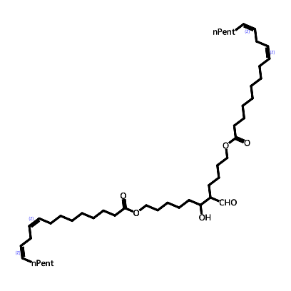 CCCCC/C=C\C/C=C\CCCCCCCC(=O)OCCCCCC(O)C(C=O)CCCCOC(=O)CCCCCCC/C=C\C/C=C\CCCCC